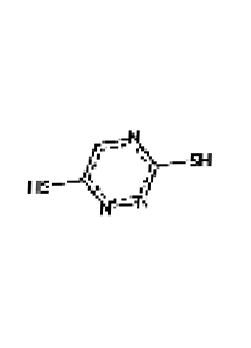 Sc1cnc(S)nn1